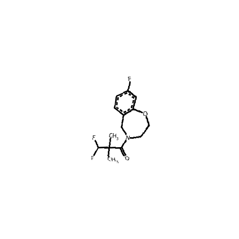 CC(C)(C(=O)N1CCOc2cc(F)ccc2C1)C(F)F